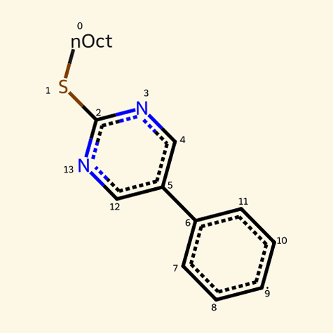 CCCCCCCCSc1ncc(-c2cc[c]cc2)cn1